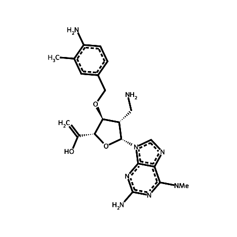 C=C(O)[C@H]1O[C@@H](n2cnc3c(NC)nc(N)nc32)[C@@H](CN)[C@@H]1OCc1ccc(N)c(C)c1